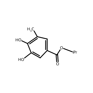 Cc1cc(C(=O)OC(C)C)cc(O)c1O